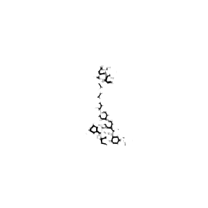 CC(C)N(C)[C@@H]1CC[C@H](N2CC[C@H](Nc3ncnc4ccc(C(F)(F)F)cc34)C2=O)[C@H](NC(=O)C2CCN(C3CCN(C(=O)CCOCCOCCNC(=O)[C@H]4CC(O)N(C)[C@@H]4c4cccnc4)CC3)CC2)C1